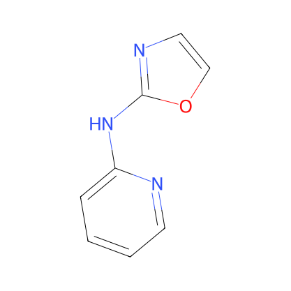 c1ccc(Nc2ncco2)nc1